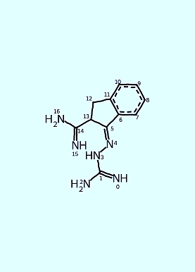 N=C(N)NN=C1c2ccccc2CC1C(=N)N